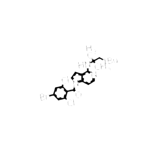 CC(C)(C)CC(C)(C)Nc1nccc2c1ccn2C(=O)c1c(Cl)cc(Br)cc1Cl